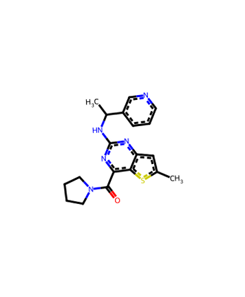 Cc1cc2nc(NC(C)c3cccnc3)nc(C(=O)N3CCCC3)c2s1